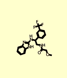 COCC(=O)NCC(Nc1nc2ccccc2[nH]1)c1cccc(C(F)(F)F)c1